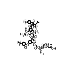 CCOC(=O)COC(=O)c1cc(Oc2ccc(C(F)(F)F)cc2Cl)ccc1[N+](=O)[O-].CCc1cccc(C)c1N(C(=O)CCl)C(C)COC.CS(=O)(=O)c1cc(C(F)(F)F)ccc1C(=O)c1cnoc1C1CC1.O=C(O)CNCP(=O)(O)O